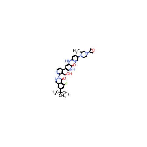 C[C@H]1CN(C2COC2)CCN1c1ccc(Nc2cc(-c3ccnc(-n4ncc5cc(C(C)(C)C)cc(F)c5c4=O)c3CO)c[nH]c2=O)nc1